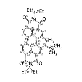 CCC(CC)N1C(=O)c2ccc3c4ccc5c6c(cc(C(C)=[Si](C)C)c(c7ccc(c2c37)C1=O)c64)C(=O)N(C(CC)CC)C5=O